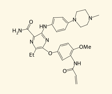 C=CC(=O)Nc1cc(Oc2nc(Nc3ccc(N4CCN(C)CC4)cc3)c(C(N)=O)nc2CC)ccc1OC